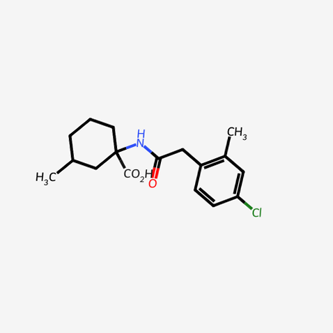 Cc1cc(Cl)ccc1CC(=O)NC1(C(=O)O)CCCC(C)C1